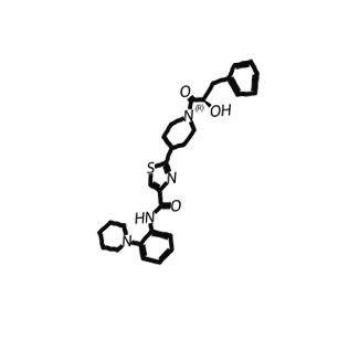 O=C(Nc1ccccc1N1CCCCC1)c1csc(C2CCN(C(=O)[C@H](O)Cc3ccccc3)CC2)n1